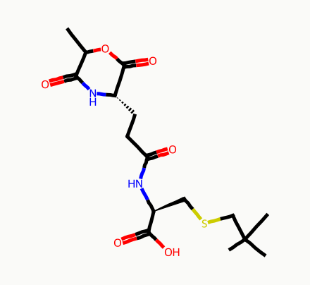 CC1OC(=O)[C@H](CCC(=O)N[C@@H](CSCC(C)(C)C)C(=O)O)NC1=O